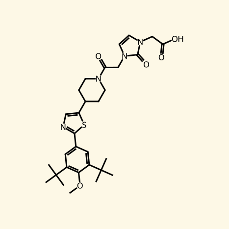 COc1c(C(C)(C)C)cc(-c2ncc(C3CCN(C(=O)Cn4ccn(CC(=O)O)c4=O)CC3)s2)cc1C(C)(C)C